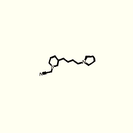 N#CCN1CCCC(CCCCN2CCCC2)C1